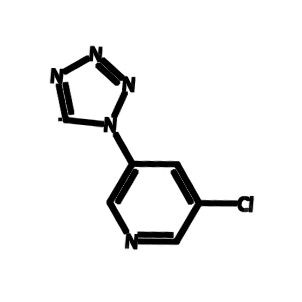 Clc1cncc(-n2[c]nnn2)c1